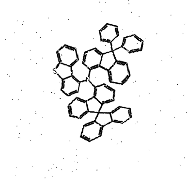 c1ccc(C2(c3ccccc3)c3ccccc3-c3c(N(c4cccc5c4-c4ccccc4C54c5ccccc5-c5ccccc54)c4cccc5sc6ccccc6c45)cccc32)cc1